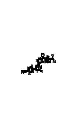 Cc1cc(-c2ccc(C#N)cc2)cc(C2CCN(C(=O)c3cc(C(C)C)n[nH]3)C2)n1